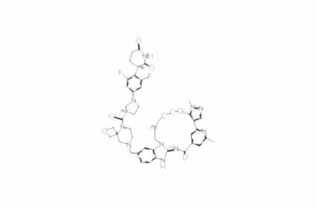 Cc1cc2cc(n1)-c1cnn(C)c1OCCC[C@@H](C)CN1/C(=N/C2=O)Nc2ccc(CN3CCN(C(=O)[C@@H]4CCN(c5cc(F)c([C@H]6CCC(=O)NC6=O)c(F)c5)C4)C4(COC4)C3)cc21